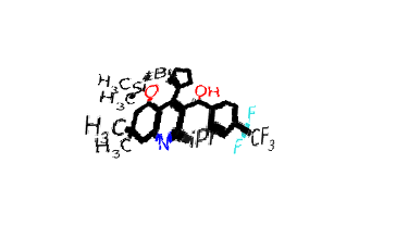 CC(C)c1nc2c(c(C3=CCCC3)c1[C@H](O)c1ccc(C(F)(F)C(F)(F)F)cc1)C(O[Si](C)(C)C(C)(C)C)CC(C)(C)C2